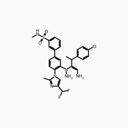 CNS(=O)(=O)c1cccc(-c2ccc(-n3cc(C(F)F)nc3C)c(N(N)/C(=C\N)C(C)c3ccc(Cl)cc3)c2)c1